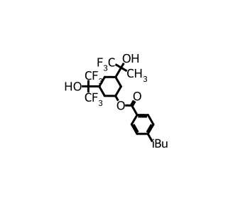 CCC(C)c1ccc(C(=O)OC2CC(C(C)(O)C(F)(F)F)CC(C(O)(C(F)(F)F)C(F)(F)F)C2)cc1